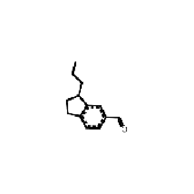 CCCC1CCc2ccc(C=O)cc21